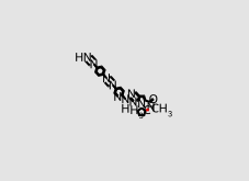 CN(C)C(=O)c1cc2cnc(Nc3ccc(N4CCN(c5ccc(N6CCNCC6)cc5)CC4)cn3)nc2n1C1CCCC1